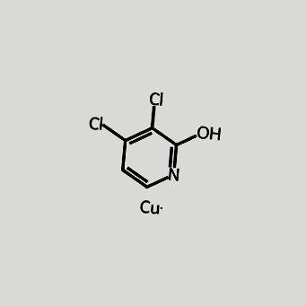 Oc1nccc(Cl)c1Cl.[Cu]